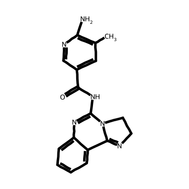 Cc1cc(C(=O)NC2=Nc3ccccc3C3=NCCN23)cnc1N